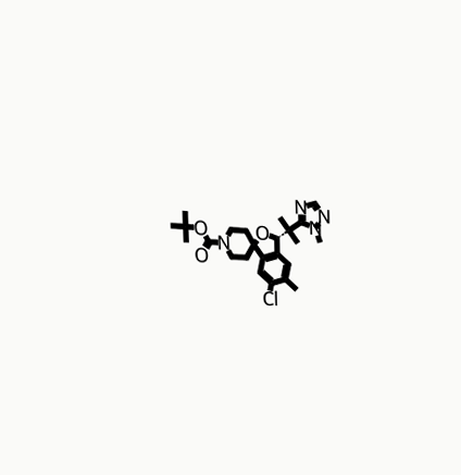 Cc1cc2c(cc1Cl)C1(CCN(C(=O)OC(C)(C)C)CC1)O[C@@H]2C(C)(C)c1ncnn1C